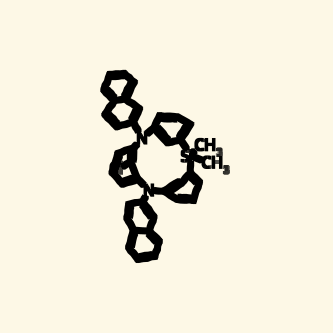 C[Si]1(C)c2cccc(c2)N(c2ccc3ccccc3c2)c2cccc(c2Cl)N(c2ccc3ccccc3c2)c2cccc1c2